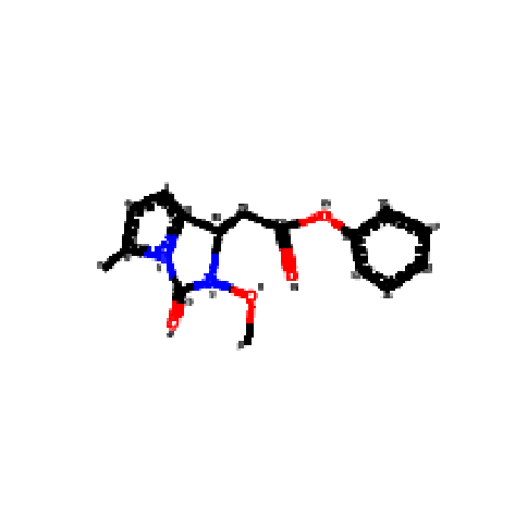 CON1C(=O)n2c(C)ccc2C1CC(=O)Oc1ccccc1